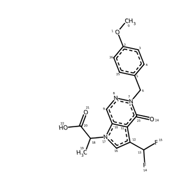 COc1ccc(Cn2ncc3c(c(C(F)F)cn3C(C)C(=O)O)c2=O)cc1